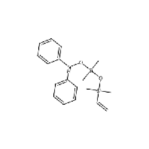 C=C[Si](C)(C)O[Si](C)(C)O[SiH](c1ccccc1)c1ccccc1